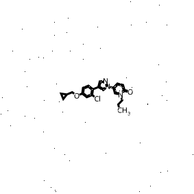 CCCn1cc(-n2cc(-c3ccc(OCC4CC4)cc3Cl)cn2)ccc1=O